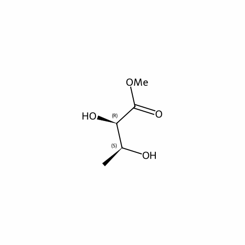 COC(=O)[C@H](O)[C@H](C)O